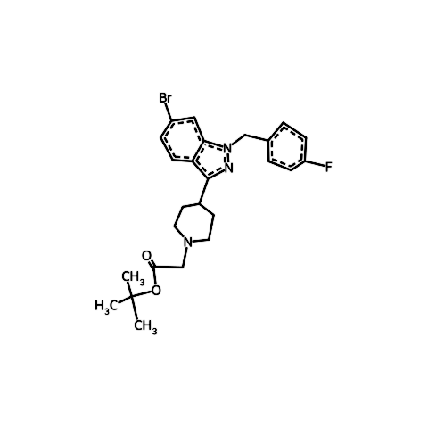 CC(C)(C)OC(=O)CN1CCC(c2nn(Cc3ccc(F)cc3)c3cc(Br)ccc23)CC1